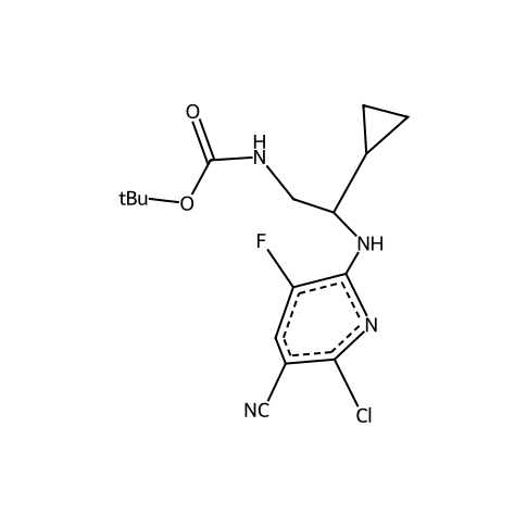 CC(C)(C)OC(=O)NCC(Nc1nc(Cl)c(C#N)cc1F)C1CC1